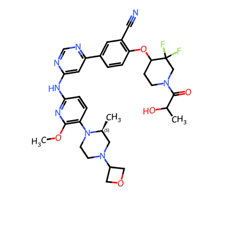 COc1nc(Nc2cc(-c3ccc(OC4CCN(C(=O)C(C)O)CC4(F)F)c(C#N)c3)ncn2)ccc1N1CCN(C2COC2)C[C@@H]1C